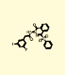 O=C(Cc1cc(F)cc(F)c1)Nn1nc(S(=O)(=O)c2ccccc2)c2ccccc2c1=O